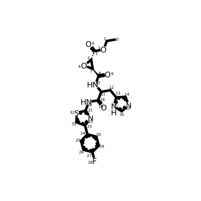 CCOC(=O)[C@H]1O[C@@H]1C(=O)NC(Cc1cnc[nH]1)C(=O)Nc1nc(-c2ccc(F)cc2)cs1